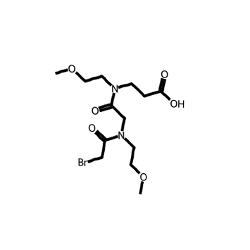 COCCN(CCC(=O)O)C(=O)CN(CCOC)C(=O)CBr